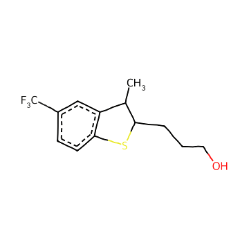 CC1c2cc(C(F)(F)F)ccc2SC1CCCO